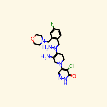 NC1=C(N(N)Cc2ccc(F)cc2CN2CCOCC2)CCN(c2cn[nH]c(=O)c2Cl)C1